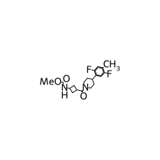 COC(=O)NC1CC(C(=O)N2CCC(c3cc(F)c(C)cc3F)CC2)C1